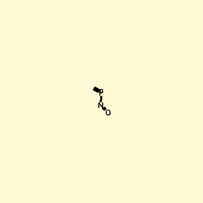 C=PN=O